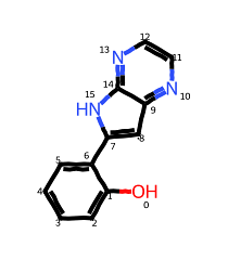 Oc1ccccc1-c1[c]c2nccnc2[nH]1